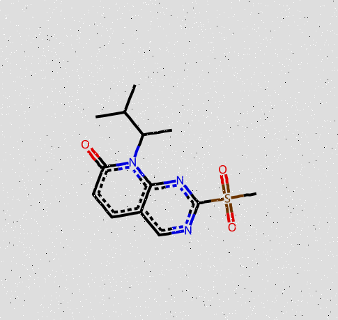 CC(C)C(C)n1c(=O)ccc2cnc(S(C)(=O)=O)nc21